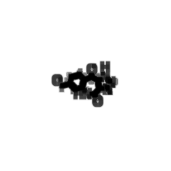 O=Cc1ccc2c(=O)c3[nH]nnc3c(=O)[nH]c2c1